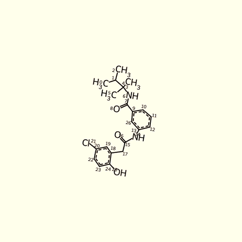 CC(C)C(C)(C)NC(=O)c1cccc(NC(=O)Cc2cc(Cl)ccc2O)c1